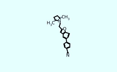 C[C@H]1CC[C@H](C)N1CCc1cc2cc(-c3ccc(C#N)cc3)ccc2o1